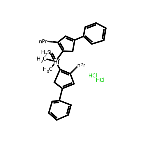 CCCC1=[C]([Hf]([CH3])([CH3])(=[SiH2])[C]2=C(CCC)C=C(c3ccccc3)C2)CC(c2ccccc2)=C1.Cl.Cl